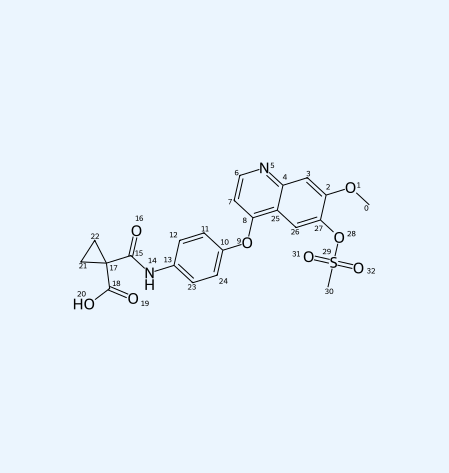 COc1cc2nccc(Oc3ccc(NC(=O)C4(C(=O)O)CC4)cc3)c2cc1OS(C)(=O)=O